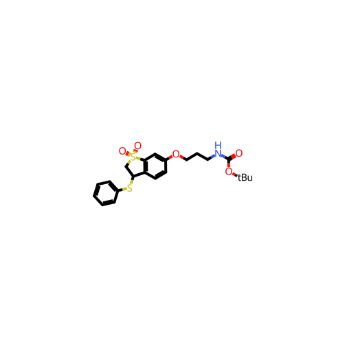 CC(C)(C)OC(=O)NCCCOc1ccc2c(c1)S(=O)(=O)CC2Sc1ccccc1